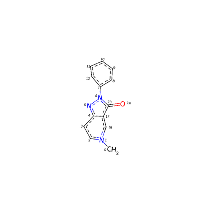 Cn1ccc2nn(-c3ccccc3)c(=O)c-2c1